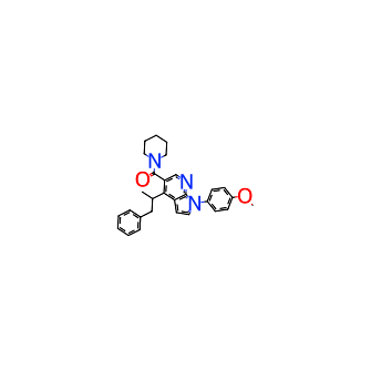 COc1ccc(-n2ccc3c(C(C)Cc4ccccc4)c(C(=O)N4CCCCC4)cnc32)cc1